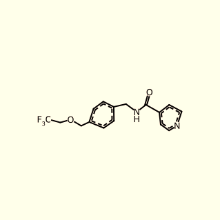 O=C(NCc1ccc(COCC(F)(F)F)cc1)c1ccncc1